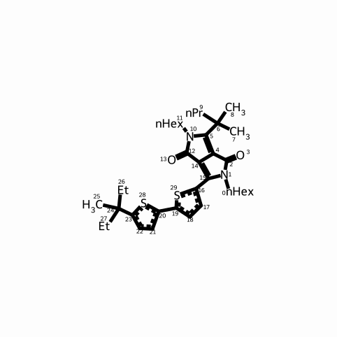 CCCCCCN1C(=O)C2=C(C(C)(C)CCC)N(CCCCCC)C(=O)C2=C1c1ccc(-c2ccc(C(C)(CC)CC)s2)s1